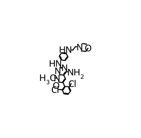 Cn1c(=O)c(-c2c(Cl)cccc2Cl)cc2c(N)nc(Nc3ccc(NCCN4CCOCC4)cc3)nc21